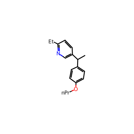 CCCOc1ccc(C(C)c2ccc(CC)nc2)cc1